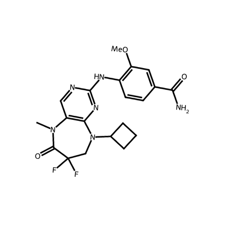 COc1cc(C(N)=O)ccc1Nc1ncc2c(n1)N(C1CCC1)CC(F)(F)C(=O)N2C